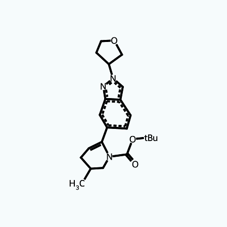 CC1CC=C(c2ccc3cn(C4CCOC4)nc3c2)N(C(=O)OC(C)(C)C)C1